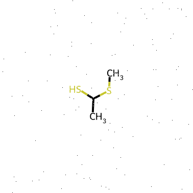 CSC(C)S